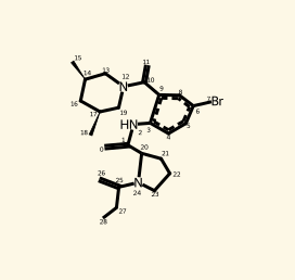 C=C(Nc1ccc(Br)cc1C(=C)N1C[C@H](C)C[C@H](C)C1)C1CCCN1C(=C)CC